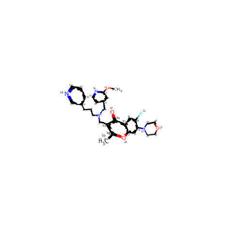 COc1cc(CN(CCCc2cccnc2)Cc2c(C)oc3cc(N4CCOCC4)c(F)cc3c2=O)ccn1